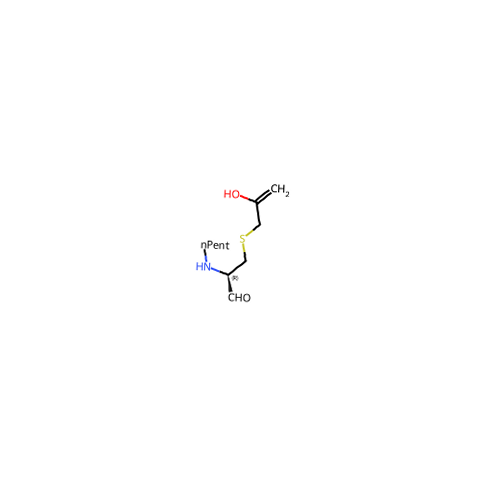 C=C(O)CSC[C@@H](C=O)NCCCCC